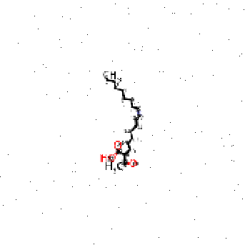 CCCCCCCC/C=C\CCCCCCC(C(C)=O)C(=O)O